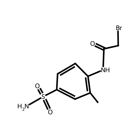 Cc1cc(S(N)(=O)=O)ccc1NC(=O)CBr